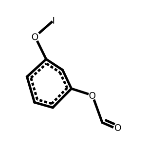 O=COc1cccc(OI)c1